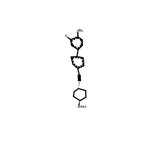 CCCCCC[C@H]1CC[C@H](C#Cc2ccc(-c3ccc(CCCC)c(F)c3)cc2)CC1